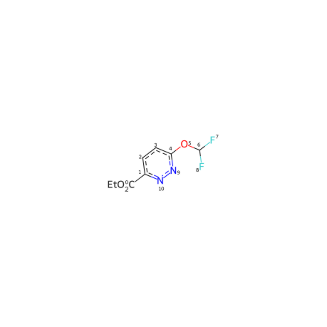 CCOC(=O)c1ccc(OC(F)F)nn1